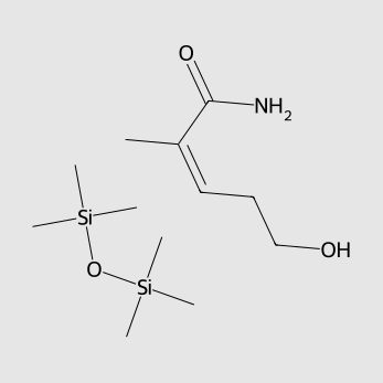 CC(=CCCO)C(N)=O.C[Si](C)(C)O[Si](C)(C)C